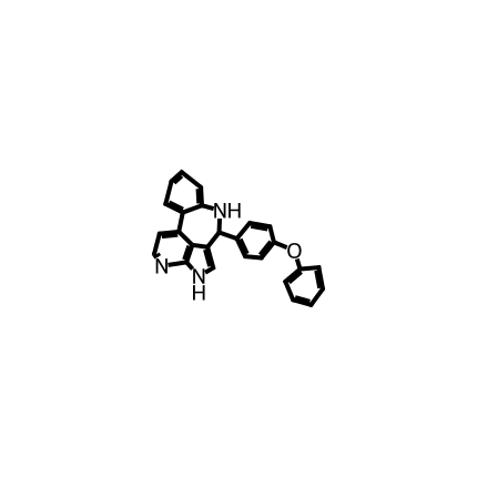 c1ccc(Oc2ccc(C3Nc4ccccc4-c4ccnc5[nH]cc3c45)cc2)cc1